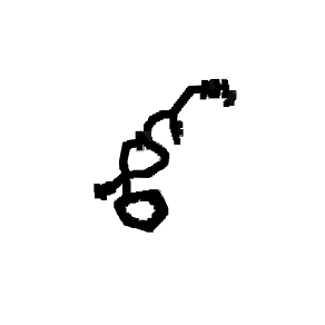 N#CC1(c2ccccc2)CCN(CC(F)CN)CC1